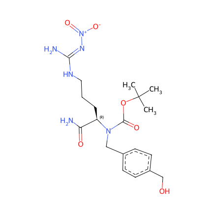 CC(C)(C)OC(=O)N(Cc1ccc(CO)cc1)[C@H](CCCNC(N)=N[N+](=O)[O-])C(N)=O